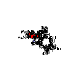 CNC(=O)c1ccccc1Sc1ccc2c(/C=C/c3ccccn3)nn(C(=O)N(CCNC(=O)CC[C@H](NC(C)=O)C(=O)OC(C)(C)C)CCC(=O)N[C@H](C(=O)N[C@@H](CCNC(=O)OC(C)(C)C)C(=O)N[C@H]3CCNC(=O)[C@H]([C@@H](C)O)NC(=O)[C@H](CCNC(=O)OC(C)(C)C)NC(=O)[C@H](CCNC(=O)OC(C)(C)C)NC(=O)[C@H](CC(C)C)NC(=O)[C@@H](Cc4ccccc4)NC(=O)[C@H](CCNC(=O)OC(C)(C)C)NC3=O)[C@@H](C)O)c2c1